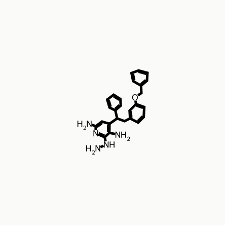 NNc1nc(N)cc(C(Cc2cccc(OCc3ccccc3)c2)c2ccccc2)c1N